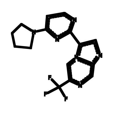 FC(F)(F)c1cn2c(-c3nccc(N4CCCC4)n3)cnc2cn1